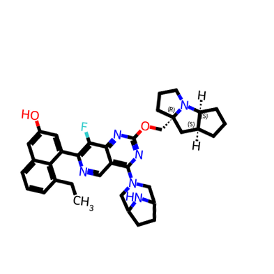 CCc1cccc2cc(O)cc(-c3ncc4c(N5CC6CCC(C5)N6)nc(OC[C@]56CCCN5[C@H]5CCC[C@H]5C6)nc4c3F)c12